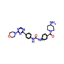 NC1CCN(C(=O)c2ccc(NC(=O)Nc3ccc(-c4ncnc(N5CCOCC5)n4)cc3)cc2)CC1